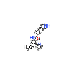 CCc1ccc(NC(=O)c2ccc(CC3CCNCC3)cc2)cc1-c1ccccn1